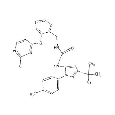 CCC(C)(C)c1cc(NC(=O)NCc2ccccc2Oc2ccnc(Cl)n2)n(-c2ccc(C)cc2)n1